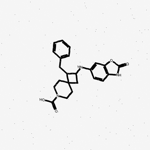 O=C(O)N1CCC2(CC1)CC(Nc1ccc3[nH]c(=O)oc3c1)C2Cc1ccccc1